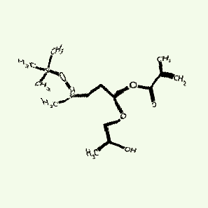 C=C(C)C(=O)OC(CC[SiH](C)O[Si](C)(C)C)OCC(C)O